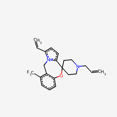 C=CCN1CCC2(CC1)Oc1cccc(C(F)(F)F)c1Cn1c(C=C)ccc12